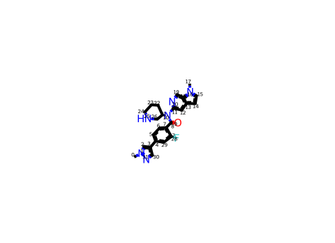 Cn1cc(-c2ccc(C(=O)N(c3cc4ccn(C)c4cn3)[C@@H]3CCCNC3)c(F)c2)cn1